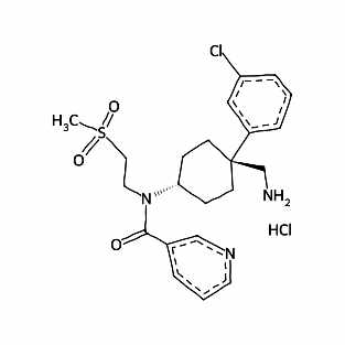 CS(=O)(=O)CCN(C(=O)c1cccnc1)[C@H]1CC[C@@](CN)(c2cccc(Cl)c2)CC1.Cl